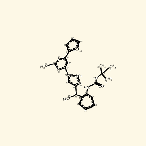 CC(C)(C)OC(=O)Nc1ccccc1C(O)c1cn(-c2cc(-c3ccco3)nc(N)n2)nn1